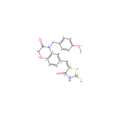 COc1ccc(CN2C(=O)COc3ccc(/C=C4/SC(=S)NC4=O)cc32)cc1